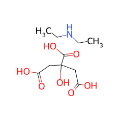 CCNCC.O=C(O)CC(O)(CC(=O)O)C(=O)O